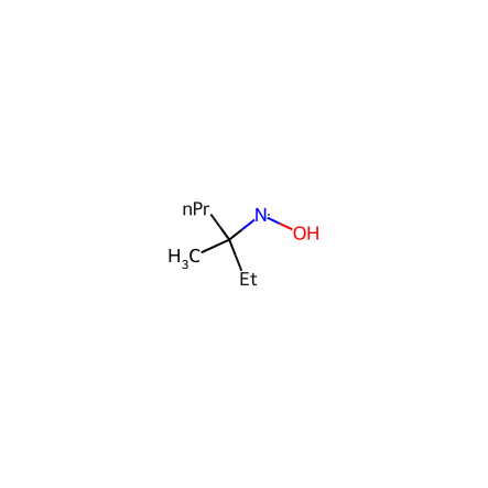 CCCC(C)(CC)[N]O